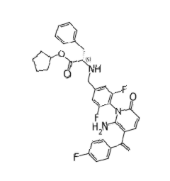 C=C(c1ccc(F)cc1)c1ccc(=O)n(-c2c(F)cc(CN[C@@H](Cc3ccccc3)C(=O)OC3CCCC3)cc2F)c1N